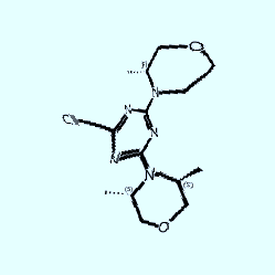 C[C@@H]1COCCN1c1nc(Cl)nc(N2[C@@H](C)COC[C@@H]2C)n1